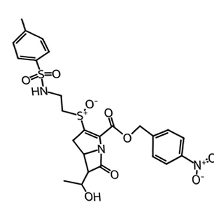 Cc1ccc(S(=O)(=O)NCC[S+]([O-])C2=C(C(=O)OCc3ccc([N+](=O)[O-])cc3)N3C(=O)C(C(C)O)C3C2)cc1